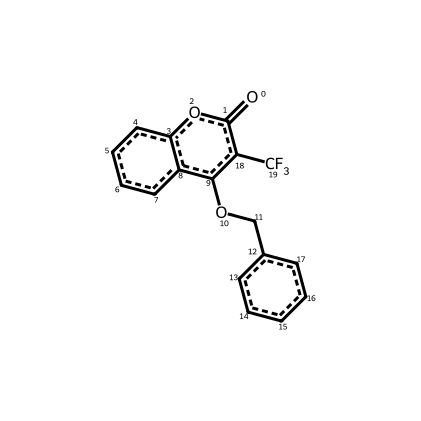 O=c1oc2ccccc2c(OCc2ccccc2)c1C(F)(F)F